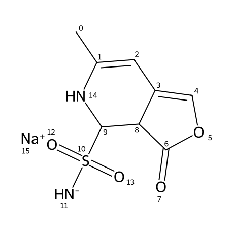 CC1=CC2=COC(=O)C2C(S([NH-])(=O)=O)N1.[Na+]